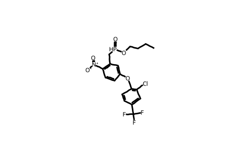 CCCCO[PH](=O)Cc1cc(Oc2ccc(C(F)(F)F)cc2Cl)ccc1[N+](=O)[O-]